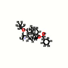 C/C=C(\C)[C@H]1[C@@H](CO[Si](C)(C)C(C)(C)C)[C@H]2[C@H]([C@@H](OC(=O)c3ccccc3)CC[C@@H]2C)[C@H]2C[C@]21C